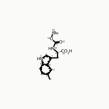 Cc1ccc2[nH]cc(C[C@H](NC(=O)OC(C)(C)C)C(=O)O)c2c1